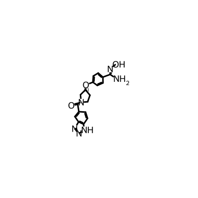 NC(=NO)c1ccc(O[C@H]2CCN(C(=O)c3ccc4[nH]nnc4c3)C2)cc1